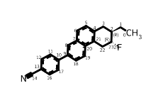 CC[C@@H]1Cc2ccc3cc(-c4ccc(C#N)cc4)ccc3c2C[C@H]1F